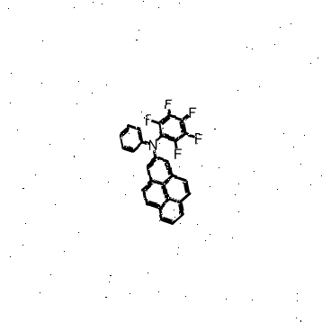 Fc1c(F)c(F)c(N(c2ccccc2)c2cc3ccc4cccc5ccc(c2)c3c45)c(F)c1F